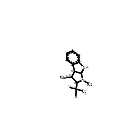 CCN1C2Nc3ccccc3C2C(C(C)(C)C)C1C(C)(C)CC